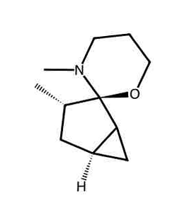 C[C@H]1C[C@@H]2CC2[C@]12OCCCN2C